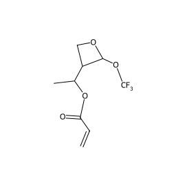 C=CC(=O)OC(C)C1COC1OC(F)(F)F